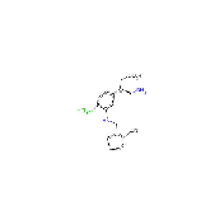 Cl.N#Cc1ccccc1CNc1cc([C@H](CN)CC(=O)O)ccc1Cl